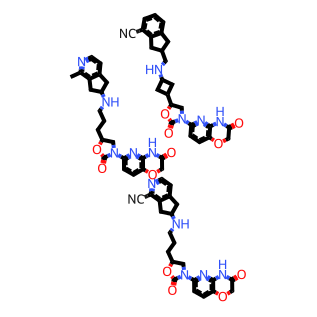 Cc1nccc2c1CC(NCCCC1CN(c3ccc4c(n3)NC(=O)CO4)C(=O)O1)C2.N#Cc1cccc2c1CC(CNC1CC(C3CN(c4ccc5c(n4)NC(=O)CO5)C(=O)O3)C1)C2.N#Cc1nccc2c1CC(NCCCC1CN(c3ccc4c(n3)NC(=O)CO4)C(=O)O1)C2